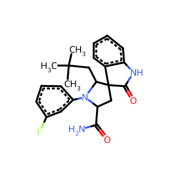 CC(C)(C)CC1N(c2cccc(F)c2)C(C(N)=O)CC12C(=O)Nc1ccccc12